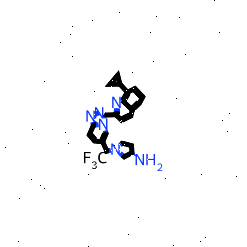 N[C@H]1CCN([C@H](c2ccc3nnc(-c4ccc5cccc(C6CC6)c5n4)n3c2)C(F)(F)F)C1